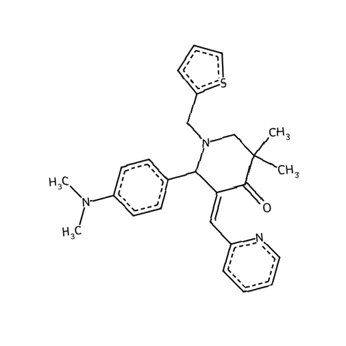 CN(C)c1ccc(C2C(=Cc3ccccn3)C(=O)C(C)(C)CN2Cc2cccs2)cc1